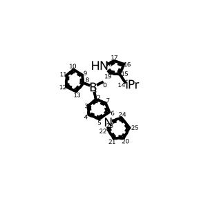 CB(c1ccccc1)c1ccccc1.CC(C)c1cc[nH]c1.c1ccncc1